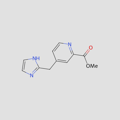 COC(=O)c1cc(Cc2ncc[nH]2)ccn1